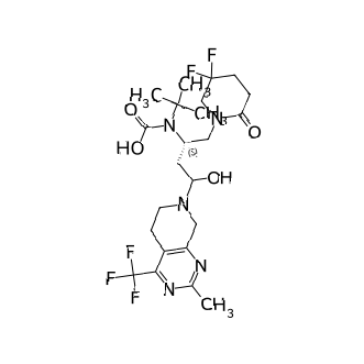 Cc1nc2c(c(C(F)(F)F)n1)CCN(C(O)C[C@@H](CN1CC(F)(F)CCC1=O)N(C(=O)O)C(C)(C)C)C2